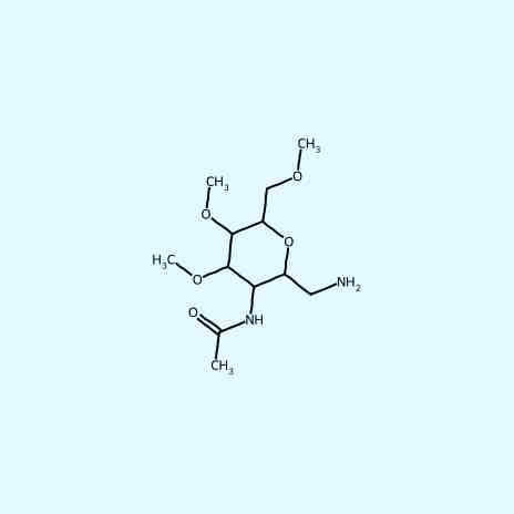 COCC1OC(CN)C(NC(C)=O)C(OC)C1OC